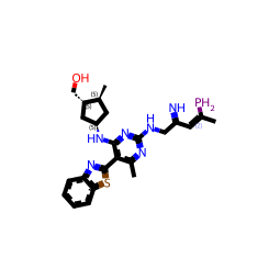 C/C(P)=C/C(=N)CNc1nc(C)c(-c2nc3ccccc3s2)c(N[C@@H]2C[C@H](CO)[C@@H](C)C2)n1